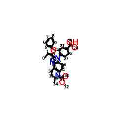 C/C=C(/Oc1ccccc1)c1nc2c3c(ccc2n1C1CCC(C(=O)O)CC1)N(C(=O)OC)C(C)CC3